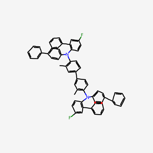 Cc1cc(-c2ccc(N(c3ccc(-c4ccccc4)cc3)c3ccc(F)cc3-c3ccccc3)c(C)c2)ccc1N(c1ccc(-c2ccccc2)cc1)c1ccc(F)cc1-c1ccccc1